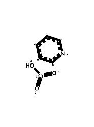 [O]=[Cr](=[O])[OH].c1ccncc1